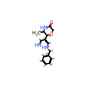 CC1NC(=O)COC1/C(C=N)=C/NCc1ccccc1